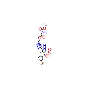 COC(=O)c1[nH]c(-c2nnn(CCOC(=O)CNC(=O)OC(C)(C)C)n2)c(C)c1C(=O)c1cccc(Br)c1